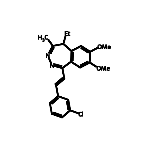 CCC1C(C)=NN=C(C=Cc2cccc(Cl)c2)c2cc(OC)c(OC)cc21